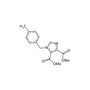 COC(=O)c1ncn(Cc2ccc(C)cc2)c1C(=O)OC